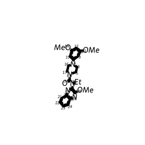 CCN(C(=O)N1CCN(c2cc(OC)cc(OC)c2)CC1)c1nc2ccccc2nc1OC